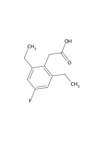 CCc1cc(F)cc(CC)c1CC(=O)O